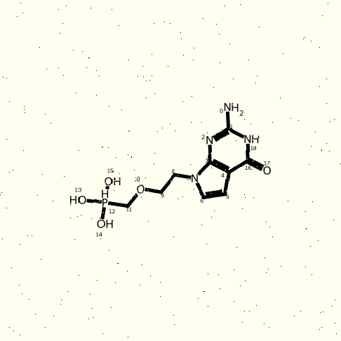 Nc1nc2c(ccn2CCOC[PH](O)(O)O)c(=O)[nH]1